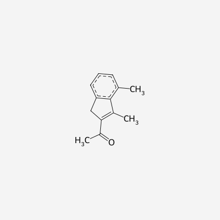 CC(=O)C1=C(C)c2c(C)cccc2C1